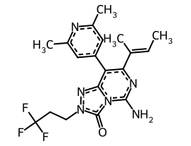 C/C=C(\C)c1nc(N)n2c(=O)n(CCC(F)(F)F)nc2c1-c1cc(C)nc(C)c1